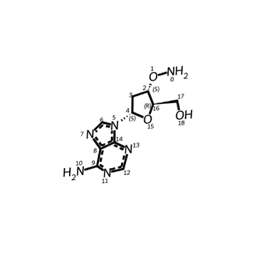 NO[C@H]1C[C@@H](n2cnc3c(N)ncnc32)O[C@@H]1CO